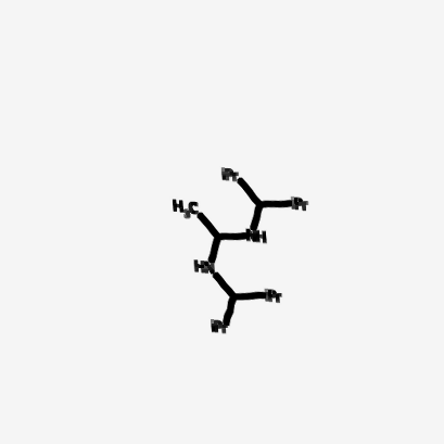 CC(NC(C(C)C)C(C)C)NC(C(C)C)C(C)C